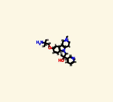 CN1CCc2c(c3cc(OCC(C)(C)N)ccc3n2CC(C)(O)c2cccnc2)C1